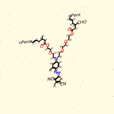 CCCCC/C=C/CC(C)CC(=O)OCCOCCN(CCOCCOCCOC(=O)CC(C=O)C/C=C/CCCCC)c1ccc(/N=N/c2sc(C#N)c(C)c2C#N)c(C)c1